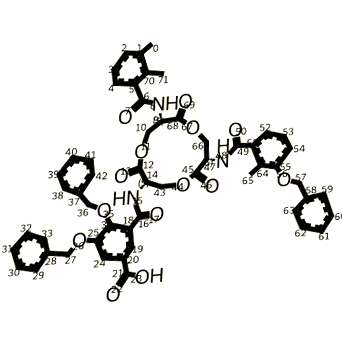 Cc1cccc(C(=O)N[C@H]2COC(=O)[C@@H](NC(=O)c3cc(C(=O)O)cc(OCc4ccccc4)c3OCc3ccccc3)COC(=O)[C@@H](NC(=O)c3cccc(OCc4ccccc4)c3C)COC2=O)c1C